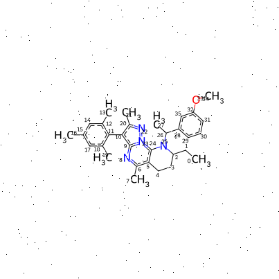 CCC1CCc2c(C)nc3c(-c4c(C)cc(C)cc4C)c(C)nn3c2N1C(C)c1cccc(OC)c1